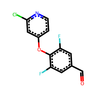 O=Cc1cc(F)c(Oc2ccnc(Cl)c2)c(F)c1